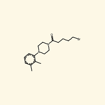 Cc1cccc(N2CCN(C(=O)CCCCBr)CC2)c1C